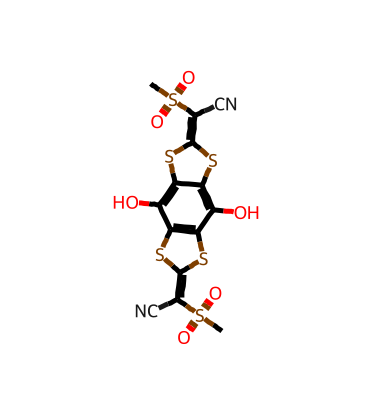 CS(=O)(=O)C(C#N)=C1Sc2c(O)c3c(c(O)c2S1)SC(=C(C#N)S(C)(=O)=O)S3